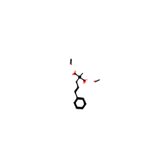 CCOC(=O)C(C)(C/C=C/c1ccccc1)C(=O)OCC